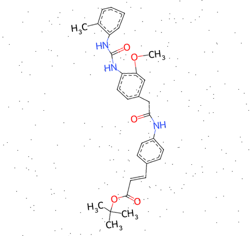 COc1cc(CC(=O)Nc2ccc(C=CC(=O)OC(C)(C)C)cc2)ccc1NC(=O)Nc1ccccc1C